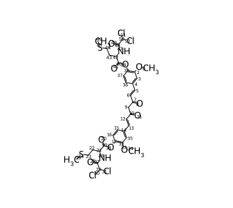 COc1cc(/C=C/C(=O)CC(=O)/C=C/c2ccc(OC(=O)C(CCSC)NC(=O)C(Cl)Cl)c(OC)c2)ccc1OC(=O)C(CCSC)NC(=O)C(Cl)Cl